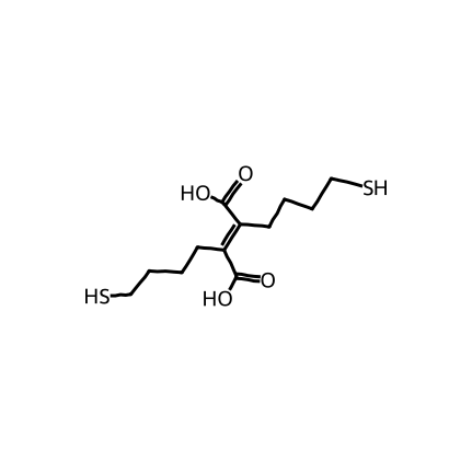 O=C(O)C(CCCCS)=C(CCCCS)C(=O)O